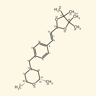 C[C@@H]1CN(Cc2ccc(/C=C/B3OC(C)(C)C(C)(C)O3)cc2)C[C@H](C)O1